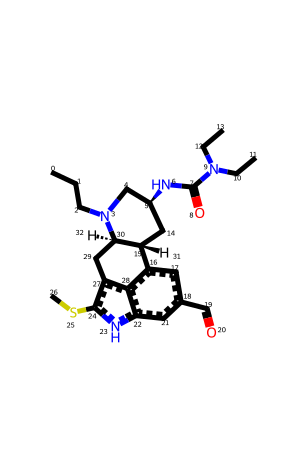 CCCN1C[C@@H](NC(=O)N(CC)CC)C[C@@H]2c3cc(C=O)cc4[nH]c(SC)c(c34)C[C@H]21